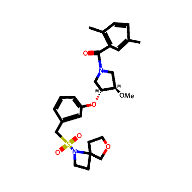 CO[C@@H]1CN(C(=O)c2cc(C)ccc2C)C[C@H]1Oc1cccc(CS(=O)(=O)N2CCC23CCOC3)c1